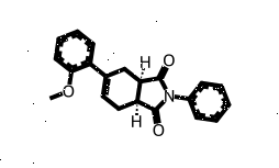 COc1ccccc1C1=CC[C@@H]2C(=O)N(c3ccccc3)C(=O)[C@@H]2C1